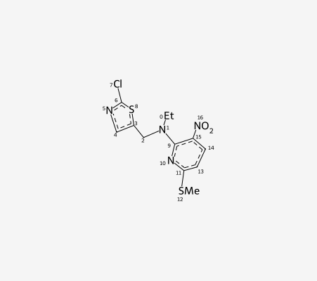 CCN(Cc1cnc(Cl)s1)c1nc(SC)ccc1[N+](=O)[O-]